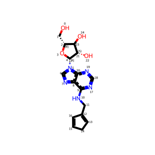 OC[C@H]1O[C@@H](n2cnc3c(NCC4=CCC=C4)ncnc32)[C@@H](O)C1O